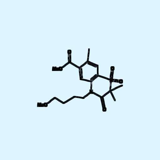 COCCCCN1C(=O)C(C)(C)S(=O)(=O)c2cc(C)c(C(=O)OC)cc21